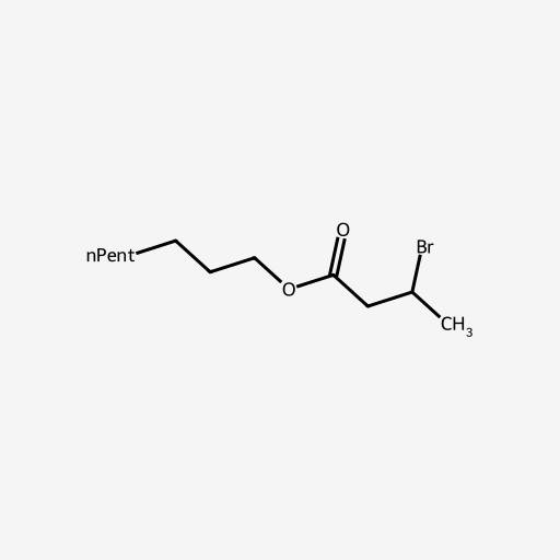 CCCCCCCCOC(=O)CC(C)Br